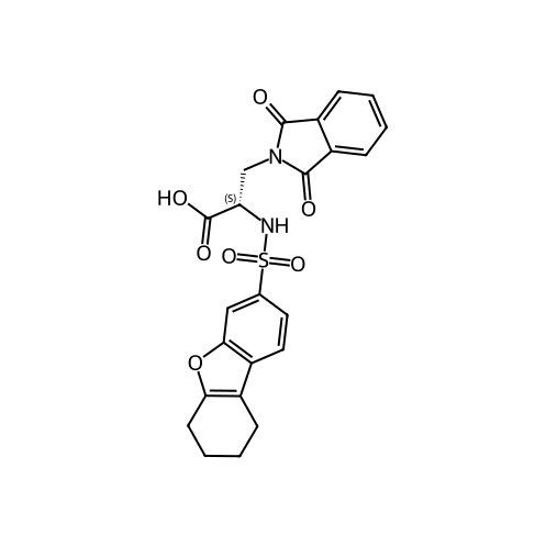 O=C(O)[C@H](CN1C(=O)c2ccccc2C1=O)NS(=O)(=O)c1ccc2c3c(oc2c1)CCCC3